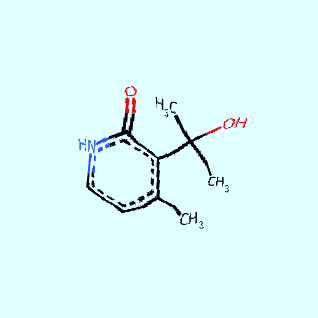 Cc1cc[nH]c(=O)c1C(C)(C)O